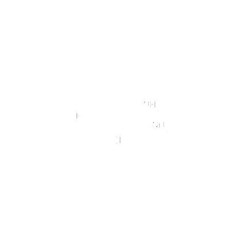 NC1=C(N)CC(Cl)C(c2ccc(F)cc2)=C1